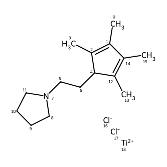 CC1=C(C)C(CCN2CCCC2)C(C)=C1C.[Cl-].[Cl-].[Ti+2]